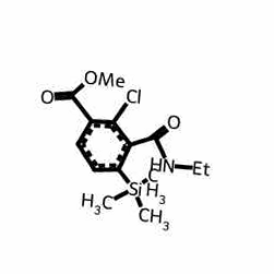 CCNC(=O)c1c([Si](C)(C)C)ccc(C(=O)OC)c1Cl